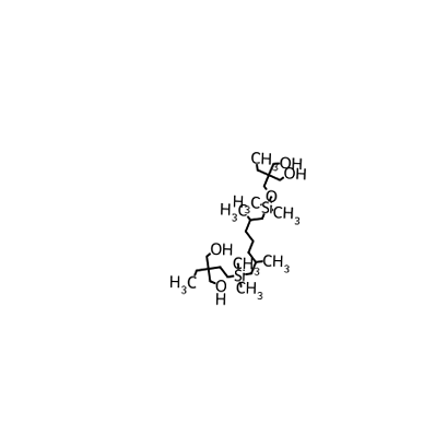 CCC(CO)(CO)CC[Si](C)(C)CC(C)CCCC(C)C[Si](C)(C)OCC(CC)(CO)CO